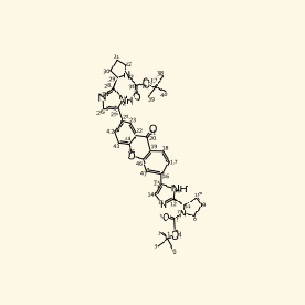 CC(C)(C)OC(=O)N1CCC[C@@H]1c1ncc(-c2ccc3c(=O)c4cc(-c5cnc([C@H]6CCCN6C(=O)OC(C)(C)C)[nH]5)ccc4oc3c2)[nH]1